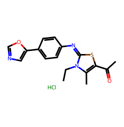 CCn1c(C)c(C(C)=O)sc1=Nc1ccc(-c2cnco2)cc1.Cl